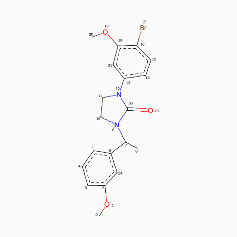 COc1cccc(C(C)N2CCN(c3ccc(Br)c(OC)c3)C2=O)c1